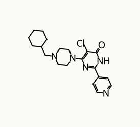 O=c1[nH]c(-c2ccncc2)nc(N2CCN(CC3CCCCC3)CC2)c1Cl